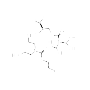 CC(C)N(C(=O)SCC(Cl)=C(Cl)Cl)C(C)C.CCCSC(=O)N(CCC)CCC